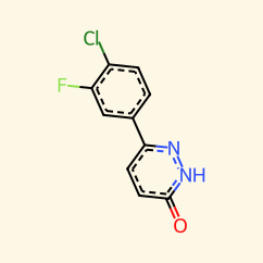 O=c1ccc(-c2ccc(Cl)c(F)c2)n[nH]1